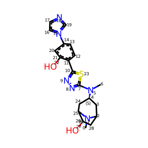 CN1C2C[C@H](N(C)c3nnc(-c4ccc(-n5ccnc5)cc4O)s3)CC1[C@H](O)C2